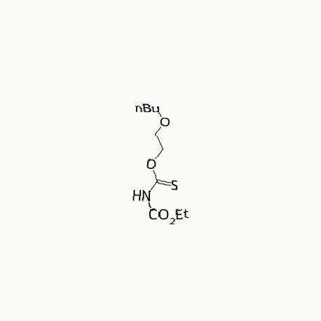 CCCCOCCOC(=S)NC(=O)OCC